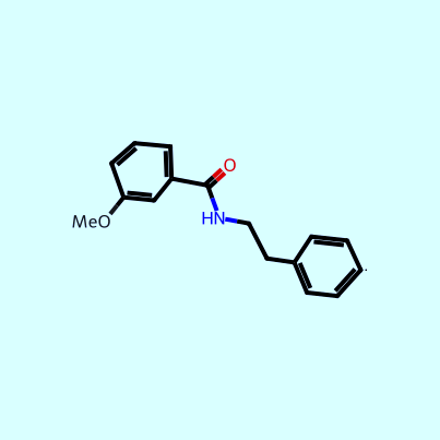 COc1cccc(C(=O)NCCc2cc[c]cc2)c1